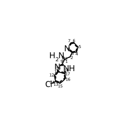 N[C@@H](Cc1ccccn1)c1nc2cc(Cl)ccc2[nH]1